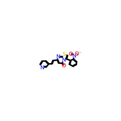 O=c1cc(/C=C/c2cccnc2)nc2scc(-c3ccccc3[N+](=O)[O-])n12